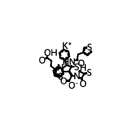 O=C(O)CCc1csc(C2=C(C(=O)[O-])N3C(=O)C(=S)[C@@H]3SC2(NC(=O)Cc2ccsc2)C(c2ccccc2)c2ccccc2)n1.[K+]